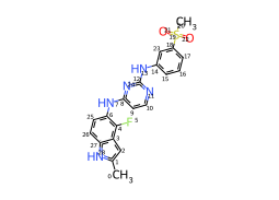 Cc1cc2c(F)c(Nc3ccnc(Nc4cccc(S(C)(=O)=O)c4)n3)ccc2[nH]1